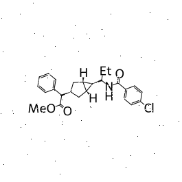 CCC(NC(=O)c1ccc(Cl)cc1)[C@H]1[C@@H]2C[C@@H](C(C(=O)OC)c3ccccc3)C[C@@H]21